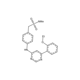 CCOc1ccccc1-c1cc(Nc2ccc(CS(=O)(=O)NC)cc2)ncn1